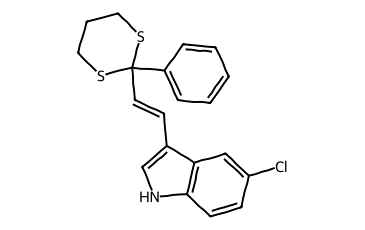 Clc1ccc2[nH]cc(/C=C/C3(c4ccccc4)SCCCS3)c2c1